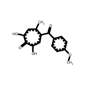 COc1ccc(C(=O)c2cc(O)c(=O)c(O)cc2C)cc1